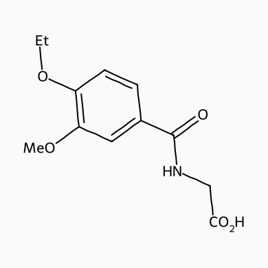 CCOc1ccc(C(=O)NCC(=O)O)cc1OC